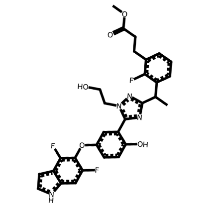 COC(=O)CCc1cccc(C(C)c2nc(-c3cc(Oc4c(F)cc5[nH]ccc5c4F)ccc3O)n(CCO)n2)c1F